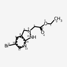 CCOC(=O)CN1Cc2cc(Br)cnc2N1